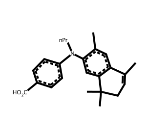 CCCN(c1ccc(C(=O)O)cc1)c1cc2c(cc1C)C(C)=CCC2(C)C